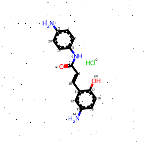 Cl.Nc1ccc(NC(=O)/C=C/c2cc(N)ccc2O)cc1